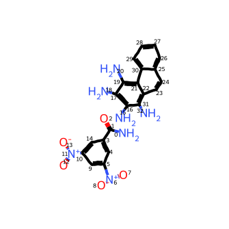 NC(=O)c1cc([N+](=O)[O-])cc([N+](=O)[O-])c1.Nc1c(N)c(N)c2c(ccc3ccccc32)c1N